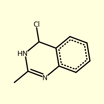 CC1=Nc2ccccc2C(Cl)N1